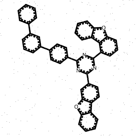 c1ccc(-c2cccc(-c3ccc(-c4nc(-c5ccc6c(c5)oc5ccccc56)nc(-c5cccc6oc7ccccc7c56)n4)cc3)c2)cc1